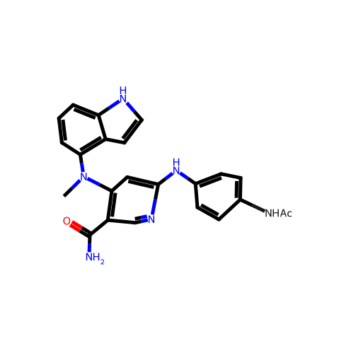 CC(=O)Nc1ccc(Nc2cc(N(C)c3cccc4[nH]ccc34)c(C(N)=O)cn2)cc1